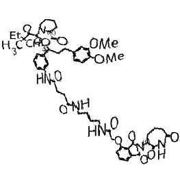 CCC(C)(C)C(=O)C(=O)N1CCCC[C@@H]1C(=O)OC(CCc1ccc(OC)c(OC)c1)c1cccc(NC(=O)CCC(=O)NCCCCNC(=O)COc2cccc3c2C(=O)N([C@H]2CCCC(=O)NC2=O)C3=O)c1